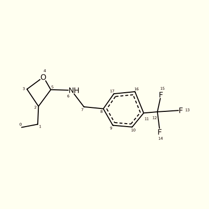 CCC1COC1NCc1ccc(C(F)(F)F)cc1